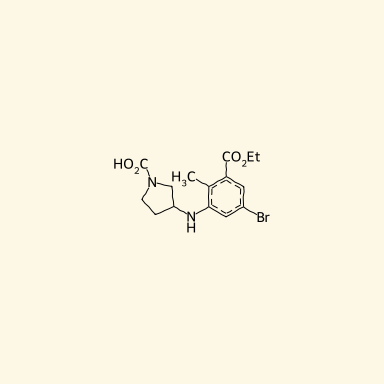 CCOC(=O)c1cc(Br)cc(NC2CCN(C(=O)O)C2)c1C